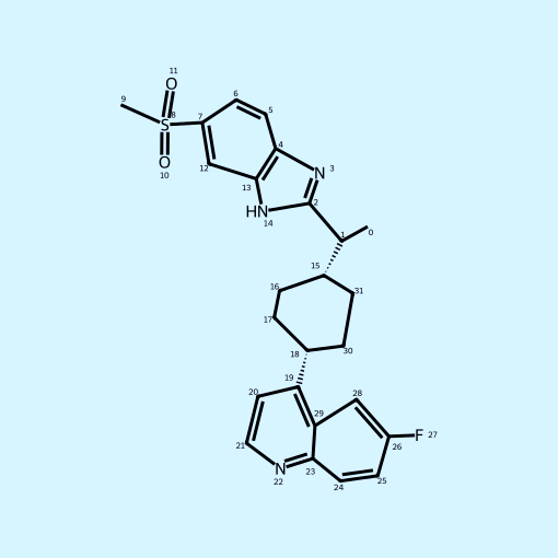 CC(c1nc2ccc(S(C)(=O)=O)cc2[nH]1)[C@H]1CC[C@@H](c2ccnc3ccc(F)cc32)CC1